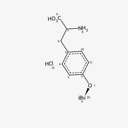 CC[C@H](C)Oc1ccc(CC(N)C(=O)O)cc1.Cl